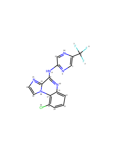 FC(F)(F)c1cnc(Nc2nc3cccc(Cl)c3n3ccnc23)cn1